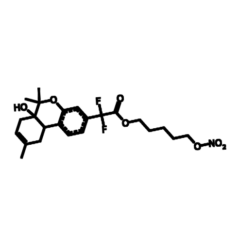 CC1=CCC2(O)C(C1)c1ccc(C(F)(F)C(=O)OCCCCCO[N+](=O)[O-])cc1OC2(C)C